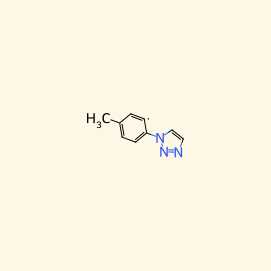 Cc1c[c]c(-n2ccnn2)cc1